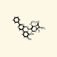 N[C@@H]1C(=O)N2C(OC(=O)O)=C(CSc3nc(-c4ccccc4)ncc3-c3ccc(O)c(O)c3)CS[C@H]12